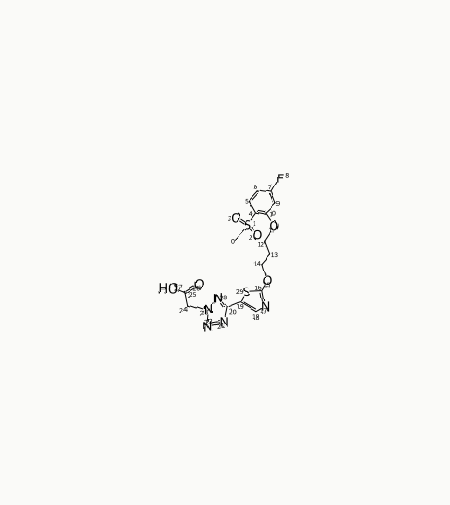 CS(=O)(=O)c1ccc(F)cc1OCCCOc1ncc(-c2nnn(CC(=O)O)n2)s1